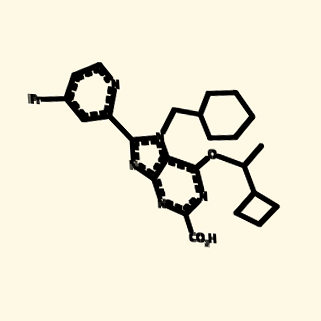 CC(C)c1ccnc(-c2nc3nc(C(=O)O)nc(OC(C)C4CCC4)c3n2CC2CCCCC2)c1